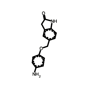 Nc1ccc(OCc2ccc3c(c2)CC(=O)N3)cc1